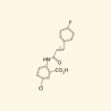 O=C(/C=C/c1ccc(F)cc1)Nc1ccc(Cl)cc1C(=O)O